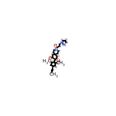 CC#Cc1cc(C)c(C2C(=O)CC3(CCN(C(=O)CCn4cccn4)CC3)CC2=O)c(C)c1